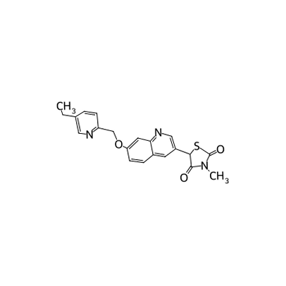 CCc1ccc(COc2ccc3cc(C4SC(=O)N(C)C4=O)cnc3c2)nc1